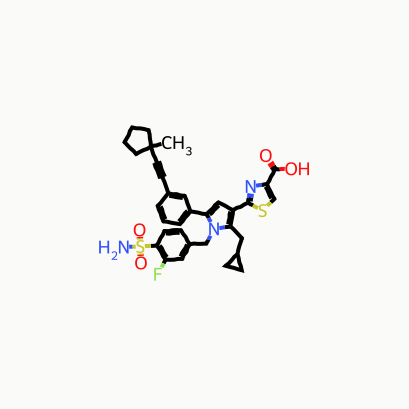 CC1(C#Cc2cccc(-c3cc(-c4nc(C(=O)O)cs4)c(CC4CC4)n3Cc3ccc(S(N)(=O)=O)c(F)c3)c2)CCCC1